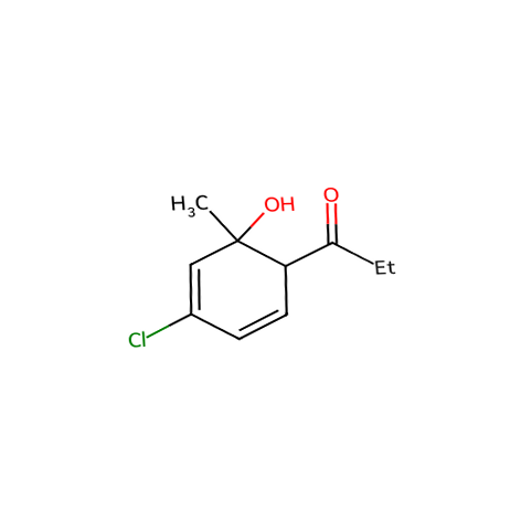 CCC(=O)C1C=CC(Cl)=CC1(C)O